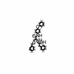 O=C(Nc1ccc(Oc2ccccc2)cc1)C(COCc1ccccc1)NCC(O)Cc1ccccc1